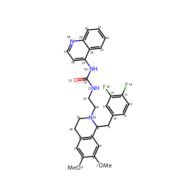 COc1cc2c(cc1OC)C(Cc1ccc(F)c(F)c1)N(CCNC(=O)Nc1ccnc3ccccc13)CC2